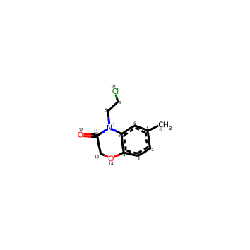 Cc1ccc2c(c1)N(CCCl)C(=O)CO2